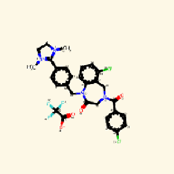 CN1CC[N+](C)=C1c1ccc(CN2C(=O)CN(C(=O)c3ccc(Cl)cc3)Cc3c(Cl)cccc32)cc1.O=C([O-])C(F)(F)F